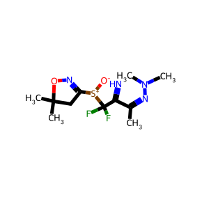 C/C(=N/N(C)C)C(=N)C(F)(F)[S+]([O-])C1=NOC(C)(C)C1